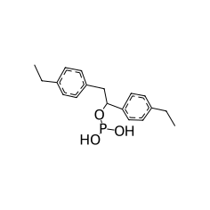 CCc1ccc(CC(OP(O)O)c2ccc(CC)cc2)cc1